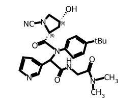 CN(C)C(=O)CNC(=O)C(c1cccnc1)N(C(=O)[C@H]1C[C@@H](O)CN1C#N)c1ccc(C(C)(C)C)cc1